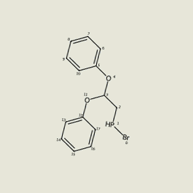 BrPCC(Oc1ccccc1)Oc1ccccc1